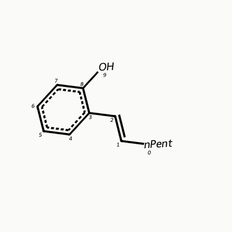 CCCCCC=Cc1cc[c]cc1O